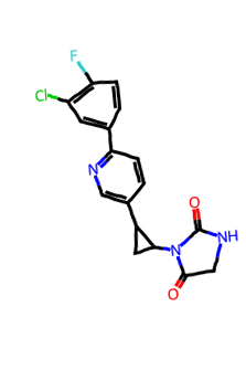 O=C1CNC(=O)N1C1CC1c1ccc(-c2ccc(F)c(Cl)c2)nc1